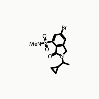 CNS(=O)(=O)c1cc(Br)cc2c1C(=O)N(C(C)C1CC1)C2